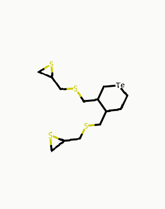 C1CC(CSCC2CS2)C(CSCC2CS2)C[Te]1